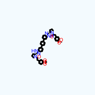 O=C(Cc1ccc2c(c1)OCO2)N1CCC[C@H]1c1nc2ccc(-c3ccc(-c4ccc5nc([C@@H]6CCCN6C(=O)Cc6ccc7c(c6)OCO7)[nH]c5c4)cc3)cc2[nH]1